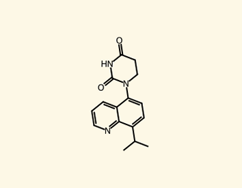 CC(C)c1ccc(N2CCC(=O)NC2=O)c2cccnc12